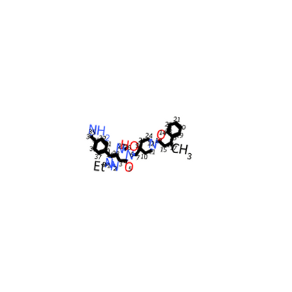 CCn1nc2c(=O)n(CC3(O)CCN(C(=O)CC(C)c4ccccc4)CC3)cnc2c1-c1ccc(CN)cc1